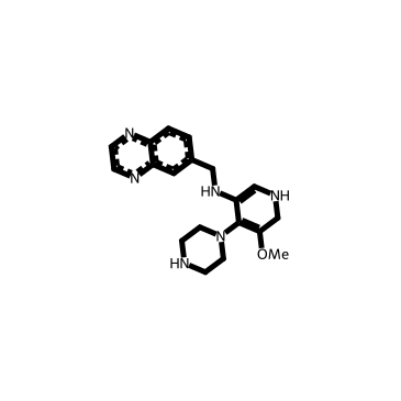 COC1=C(N2CCNCC2)C(NCc2ccc3nccnc3c2)=CNC1